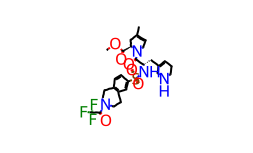 COC(=O)[C@H]1CC(C)=CCN1C(=O)[C@H](CC1=CCCNC1)NS(=O)(=O)c1ccc2c(c1)CCN(C(=O)C(F)(F)F)CC2